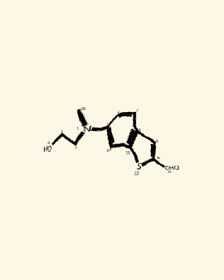 CN(CCO)c1ccc2cc(C=O)sc2c1